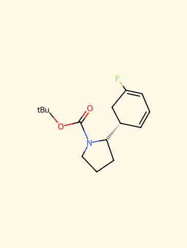 CC(C)(C)OC(=O)N1CCCC1[C@H]1C=CC=C(F)C1